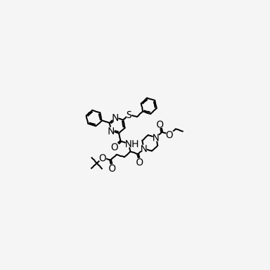 CCOC(=O)N1CCN(C(=O)C(CCC(=O)OC(C)(C)C)NC(=O)c2cc(SCc3ccccc3)nc(-c3ccccc3)n2)CC1